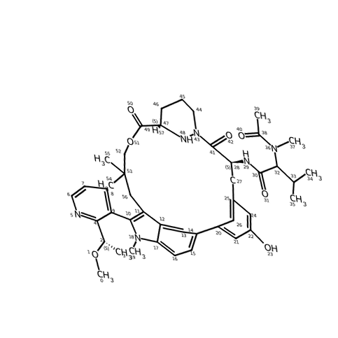 CO[C@@H](C)c1ncccc1-c1c2c3cc(ccc3n1C)-c1cc(O)cc(c1)C[C@H](NC(=O)C(C(C)C)N(C)C(C)=O)C(=O)N1CCC[C@H](N1)C(=O)OCC(C)(C)C2